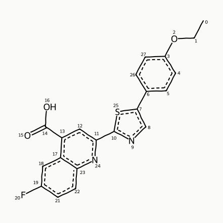 CCOc1ccc(-c2cnc(-c3cc(C(=O)O)c4cc(F)ccc4n3)s2)cc1